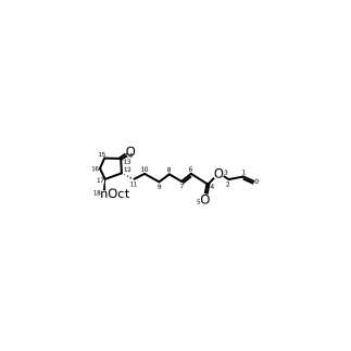 C=CCOC(=O)C=CCCCC[C@H]1C(=O)CC[C@@H]1CCCCCCCC